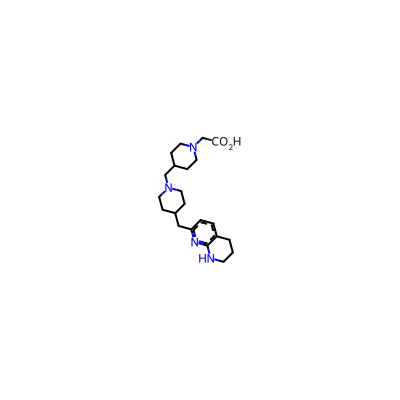 O=C(O)CN1CCC(CN2CCC(Cc3ccc4c(n3)NCCC4)CC2)CC1